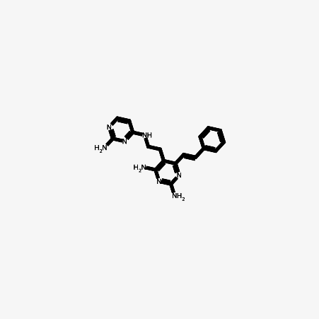 Nc1nccc(NCCc2c(N)nc(N)nc2C=Cc2ccccc2)n1